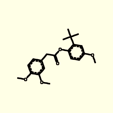 COc1ccc(OC(=O)Cc2ccc(OC)c(OC)c2)c(C(C)(C)C)c1